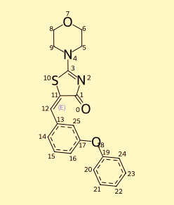 O=C1N=C(N2CCOCC2)S/C1=C/c1cccc(Oc2ccccc2)c1